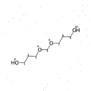 OCCCOCOCCCO